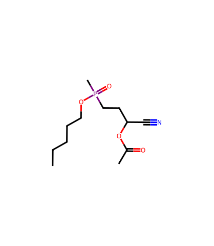 CCCCCOP(C)(=O)CCC(C#N)OC(C)=O